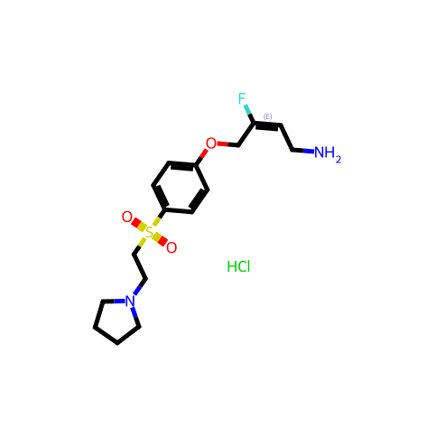 Cl.NC/C=C(/F)COc1ccc(S(=O)(=O)CCN2CCCC2)cc1